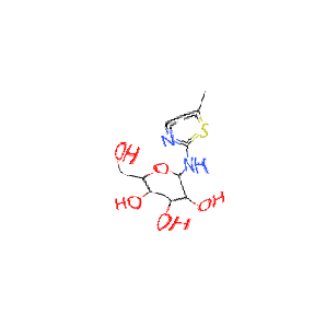 Cc1cnc(NC2OC(CO)C(O)C(O)C2O)s1